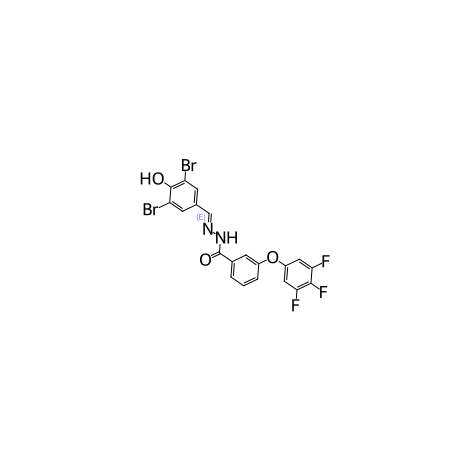 O=C(N/N=C/c1cc(Br)c(O)c(Br)c1)c1cccc(Oc2cc(F)c(F)c(F)c2)c1